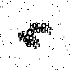 CC(C)(C)OC(=O)N1CCC(C(O[Si](C)(C)C)C(F)(F)F)CC1